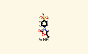 CC(=O)NCC1CN(c2ccc(S(C)(=O)=O)cc2)C(=O)O1